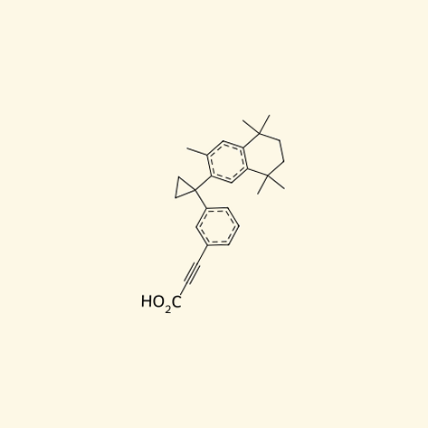 Cc1cc2c(cc1C1(c3cccc(C#CC(=O)O)c3)CC1)C(C)(C)CCC2(C)C